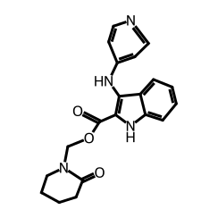 O=C(OCN1CCCCC1=O)c1[nH]c2ccccc2c1Nc1ccncc1